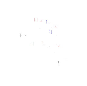 O=c1nc(O)c2cc(C(F)(F)F)c(Cl)c3c2n1C[C@H](Oc1ccc(F)cc1)CS3